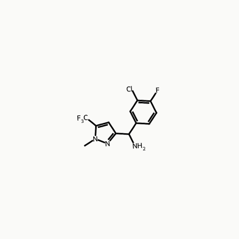 Cn1nc(C(N)c2ccc(F)c(Cl)c2)cc1C(F)(F)F